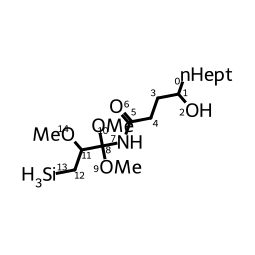 CCCCCCCC(O)CCC(=O)NC(OC)(OC)C(C[SiH3])OC